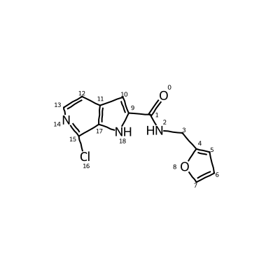 O=C(NCc1ccco1)c1cc2ccnc(Cl)c2[nH]1